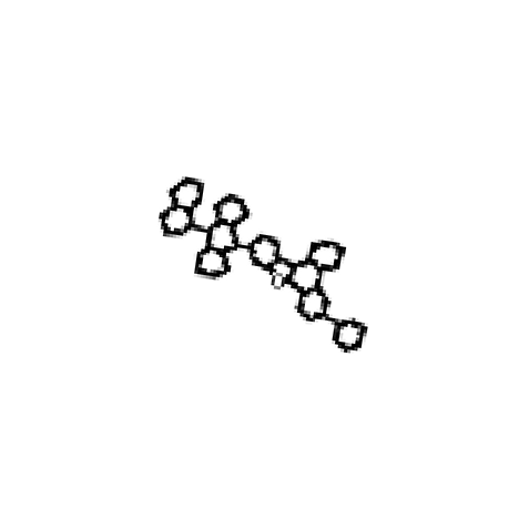 c1ccc(-c2ccc3c(c2)c2ccccc2c2c4ccc(-c5c6ccccc6c(-c6cccc7ccccc67)c6ccccc56)cc4oc32)cc1